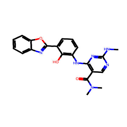 CNc1ncc(C(=O)N(C)C)c(Nc2cccc(-c3nc4ccccc4o3)c2O)n1